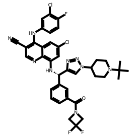 CC(C)(C)N1CCC(n2cc([C@@H](Nc3cc(Cl)cc4c(Nc5ccc(F)c(Cl)c5)c(C#N)cnc34)c3cccc(C(=O)N4CC(F)(F)C4)c3)nn2)CC1